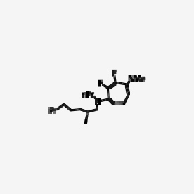 CCCN(C[C@@H](C)CCCC(C)C)C1=C=CC=C(NC)C(F)=C1F